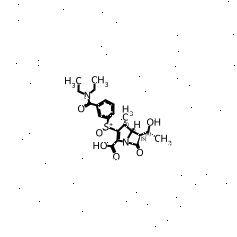 CCN(CC)C(=O)c1cccc([S+]([O-])C2=C(C(=O)O)N3C(=O)[C@H]([C@@H](C)O)[C@H]3[C@H]2C)c1